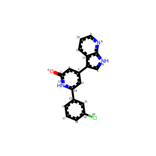 O=c1cc(-c2c[nH]c3ncccc23)cc(-c2cccc(Cl)c2)[nH]1